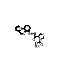 CC(C)(C)OC(=O)N1CSCC1C(=O)NNc1cccc2c1ncc1cccn12